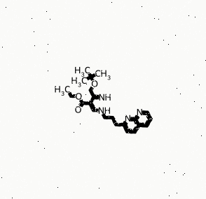 CCOC(=O)/C(=C/NCCCc1ccc2cccnc2n1)C(=N)COC(C)(C)C